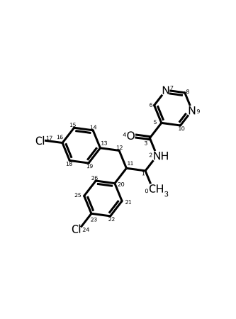 CC(NC(=O)c1cncnc1)C(Cc1ccc(Cl)cc1)c1ccc(Cl)cc1